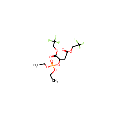 CCOP(=O)(OCC)OC(CC(=O)OCC(F)(F)F)C(=O)OCC(F)(F)F